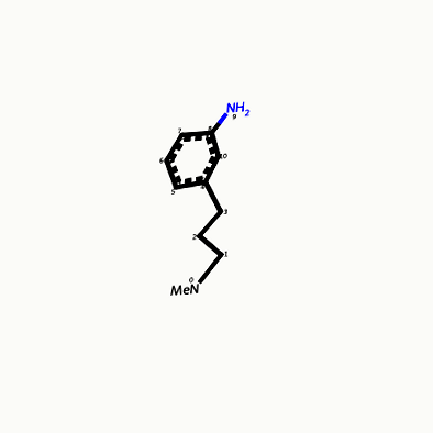 CNCCCc1cccc(N)c1